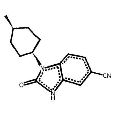 C[C@H]1CC[C@@H](n2c(=O)[nH]c3cc(C#N)ccc32)CC1